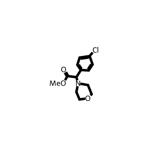 COC(=O)C(c1ccc(Cl)cc1)N1CCOCC1